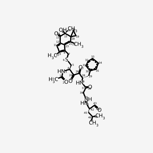 CC(=O)N[C@@H](CSCC1=C(C)C=C2C(=O)[C@](C)(O)C3(CC3)C(C)=C21)C(=O)C(=O)[C@H](Cc1ccccc1)NC(=O)CNN[C@H](C=O)CC(C)C